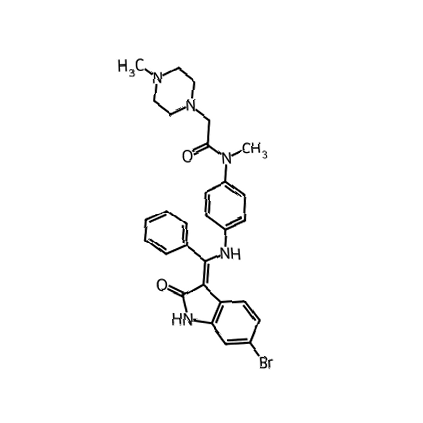 CN1CCN(CC(=O)N(C)c2ccc(NC(=C3C(=O)Nc4cc(Br)ccc43)c3ccccc3)cc2)CC1